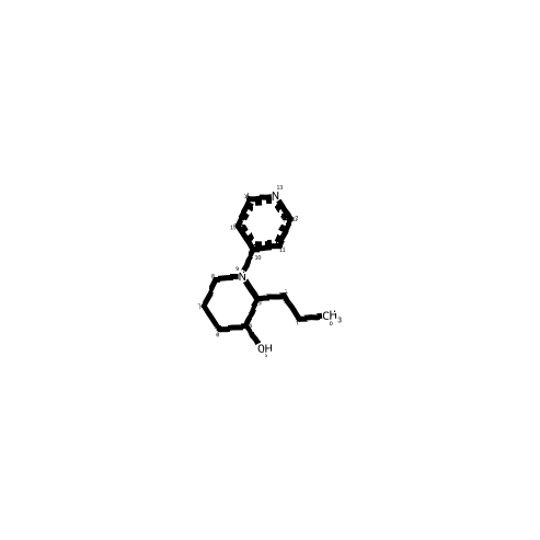 CCCC1C(O)CCCN1c1ccncc1